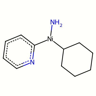 [NH2][Ni]([c]1ccccn1)[CH]1CCCCC1